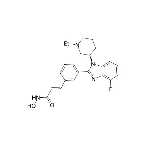 CCN1CCC[C@@H](n2c(-c3cccc(C=CC(=O)NO)c3)nc3c(F)cccc32)C1